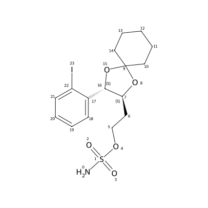 NS(=O)(=O)OCC[C@@H]1OC2(CCCCC2)O[C@H]1c1ccccc1I